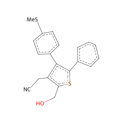 CSc1ccc(-c2c(-c3ccccc3)sc(CO)c2CC#N)cc1